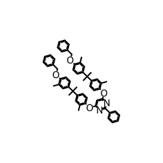 Cc1cc(C(C)(C)c2ccc(Oc3cc(Oc4ccc(C(C)(C)c5ccc(OCc6ccccc6)c(C)c5)cc4C)nc(-c4ccccc4)n3)c(C)c2)ccc1OCc1ccccc1